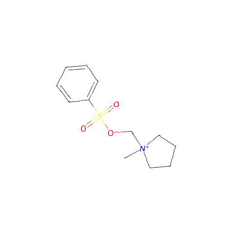 C[N+]1(COS(=O)(=O)c2ccccc2)CCCC1